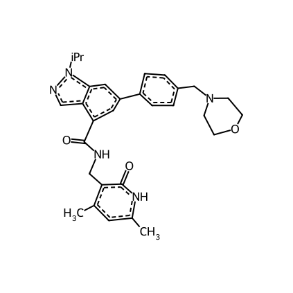 Cc1cc(C)c(CNC(=O)c2cc(-c3ccc(CN4CCOCC4)cc3)cc3c2cnn3C(C)C)c(=O)[nH]1